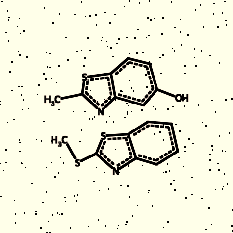 CSc1nc2ccccc2s1.Cc1nc2cc(O)ccc2s1